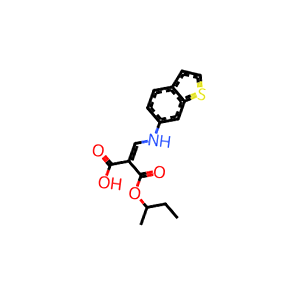 CCC(C)OC(=O)C(=CNc1ccc2ccsc2c1)C(=O)O